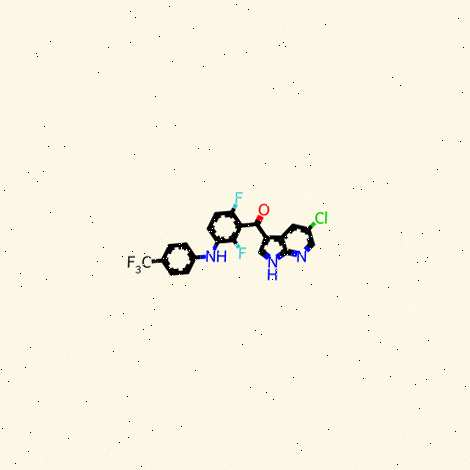 O=C(c1c(F)ccc(Nc2ccc(C(F)(F)F)cc2)c1F)c1c[nH]c2ncc(Cl)cc12